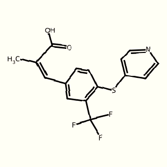 CC(=Cc1ccc(Sc2ccncc2)c(C(F)(F)F)c1)C(=O)O